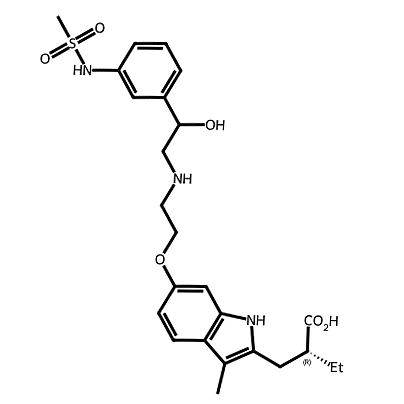 CC[C@H](Cc1[nH]c2cc(OCCNCC(O)c3cccc(NS(C)(=O)=O)c3)ccc2c1C)C(=O)O